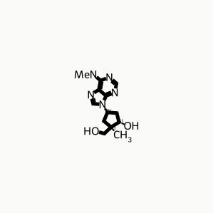 CNc1ncnc2c1ncn2[C@H]1C[C@H](O)[C@@](C)(CO)C1